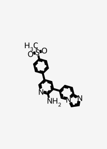 CS(=O)(=O)c1ccc(-c2cnc(N)c(-c3ccc4nccn4c3)c2)cc1